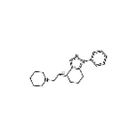 C(/CN1CCCCC1)=C1/CCCc2c1cnn2-c1ccccc1